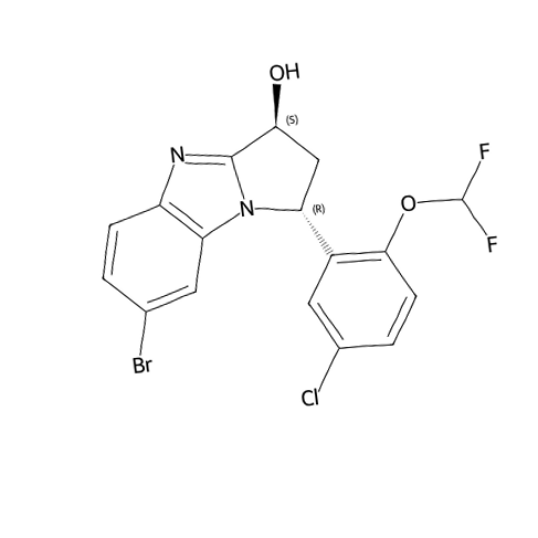 O[C@H]1C[C@H](c2cc(Cl)ccc2OC(F)F)n2c1nc1ccc(Br)cc12